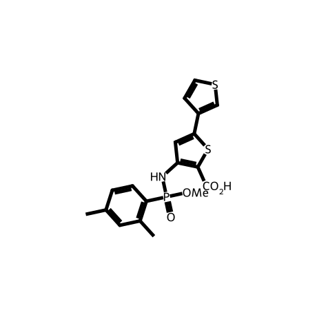 COP(=O)(Nc1cc(-c2ccsc2)sc1C(=O)O)c1ccc(C)cc1C